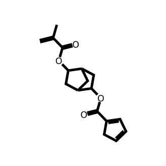 C=C(C)C(=O)OC1CC2CC1CC2OC(=O)C1=CC=CC1